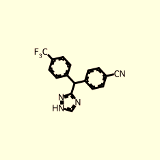 N#Cc1ccc(C(c2ccc(C(F)(F)F)cc2)c2nc[nH]n2)cc1